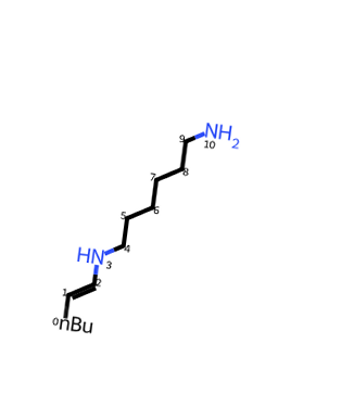 CCCCC=CNCCCCCCN